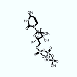 C[C@]1(O)[C@H](N2C=CC(O)NC2=O)O[C@](F)(COP(O)(=S)OP(=O)(O)OP(=O)(O)O)[C@H]1O